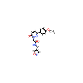 COc1ccc(-c2ccc(=O)n(CC(=O)NCc3cnoc3)n2)cc1